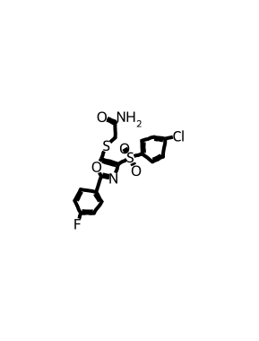 NC(=O)CSc1oc(-c2ccc(F)cc2)nc1S(=O)(=O)c1ccc(Cl)cc1